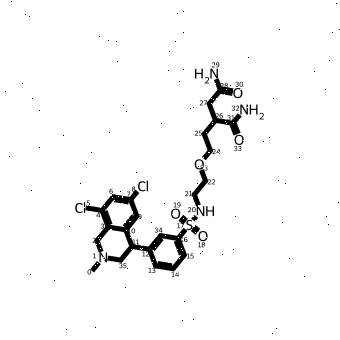 CN1Cc2c(Cl)cc(Cl)cc2C(c2cccc(S(=O)(=O)NCCOCCC(CC(N)=O)C(N)=O)c2)C1